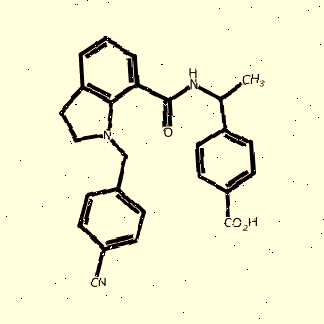 CC(NC(=O)c1cccc2c1N(Cc1ccc(C#N)cc1)CC2)c1ccc(C(=O)O)cc1